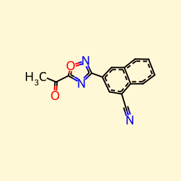 CC(=O)c1nc(-c2cc(C#N)c3ccccc3c2)no1